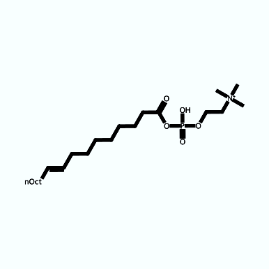 CCCCCCCC/C=C/CCCCCCCC(=O)OP(=O)(O)OCC[N+](C)(C)C